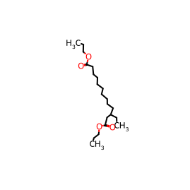 CCCOC(=O)CCCCCCCCCC(CC)CC(=O)OCCC